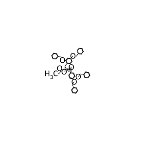 CCC(=O)O[C@@H]1Cc2c(OCc3ccccc3)cc(OCc3ccccc3)cc2O[C@H]1c1ccc(OCc2ccccc2)c(OCc2ccccc2)c1